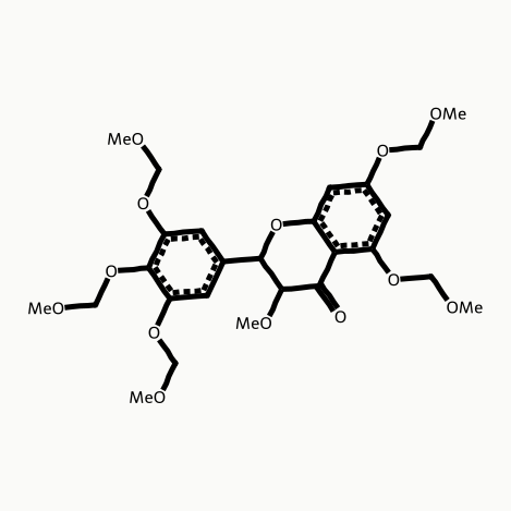 COCOc1cc(OCOC)c2c(c1)OC(c1cc(OCOC)c(OCOC)c(OCOC)c1)C(OC)C2=O